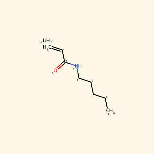 C=CC(=O)NCCCCC.[LiH]